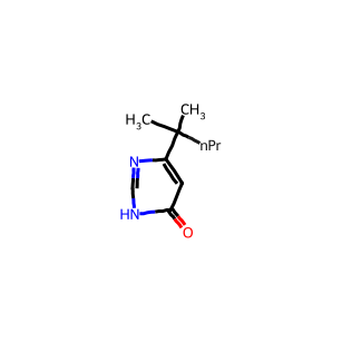 CCCC(C)(C)c1cc(=O)[nH]cn1